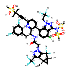 CC(C)(C#Cc1ccc(-c2ccc(Cl)c3c(N(S(C)(=O)=O)S(C)(=O)=O)nn(CC(F)(F)F)c23)c([C@H](Cc2cc(F)cc(F)c2)NC(=O)Cn2nc(C(F)(F)F)c3c2C(F)(F)[C@@H]2C[C@H]32)n1)S(C)(=O)=O